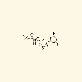 CS(=O)O[C@H](CCONC(=O)OC(C)(C)C)c1cc(F)cc(F)c1